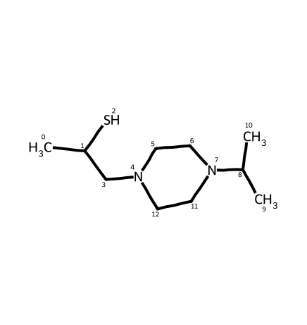 CC(S)CN1CCN(C(C)C)CC1